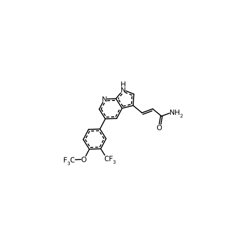 NC(=O)C=Cc1c[nH]c2ncc(-c3ccc(OC(F)(F)F)c(C(F)(F)F)c3)cc12